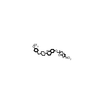 CC1(COc2ccc3nc(N4CCC(Cc5ccc(OC(F)(F)F)cc5)CC4)ccc3c2)Cn2cc([N+](=O)[O-])nc2O1